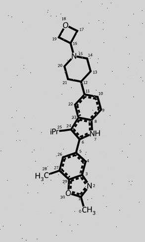 Cc1nc2cc(-c3[nH]c4ccc(C5CCN(C6COC6)CC5)cc4c3C(C)C)cc(C)c2o1